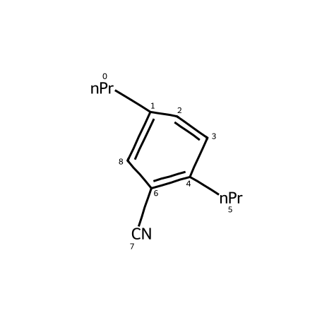 CCCc1ccc(CCC)c(C#N)c1